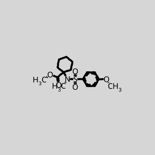 COC(=O)C1(N(C)S(=O)(=O)c2ccc(OC)cc2)CCCCC1